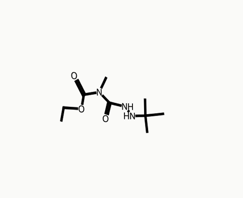 CCOC(=O)N(C)C(=O)NNC(C)(C)C